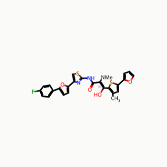 CN/C(C(=O)Nc1nc(-c2ccc(-c3ccc(F)cc3)o2)cs1)=C(/O)c1sc(-c2ccco2)cc1C